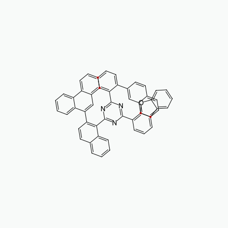 c1ccc(-c2nc(-c3c(-c4cc5ccccc5c5ccccc45)ccc4ccccc34)nc(-c3cccc4c3oc3ccccc34)n2)c(-c2ccc3ccccc3c2)c1